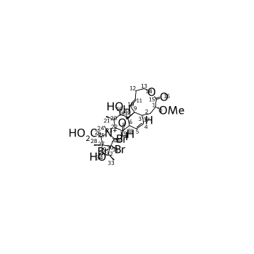 CO[C@H]1C[C@H]2C=C[C@H]3[C@H]4O[C@]2(/C=C/CCOC1=O)[C@@H]3[C@H](O)[C@H](C)[C@H]4[N+]1(C)C(C(=O)O)[C@@](C)(Br)[C@@](Br)([C@@H](C)O)C1Br